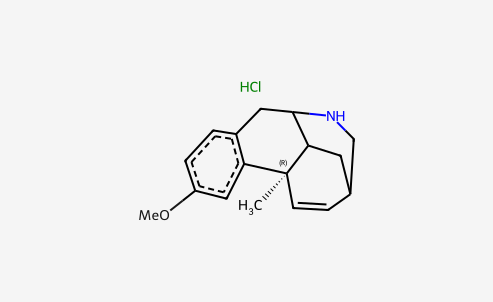 COc1ccc2c(c1)[C@]1(C)C=CC3CNC(C2)C1C3.Cl